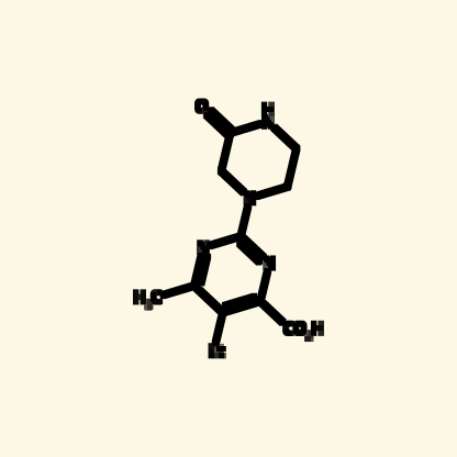 CCc1c(C)nc(N2CCNC(=O)C2)nc1C(=O)O